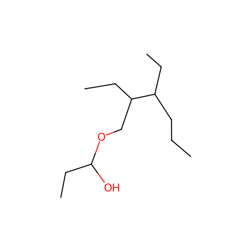 CCCC(CC)C(CC)COC(O)CC